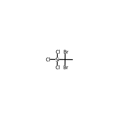 CC(Br)(Br)[Si](Cl)(Cl)Cl